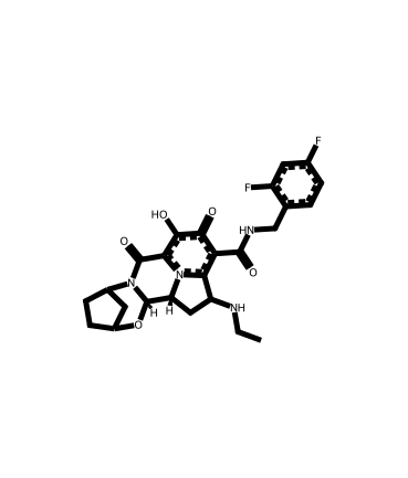 CCNC1C[C@@H]2[C@H]3OC4CCC(C4)N3C(=O)c3c(O)c(=O)c(C(=O)NCc4ccc(F)cc4F)c1n32